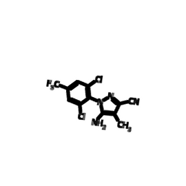 Cc1c(C#N)nn(-c2c(Cl)cc(C(F)(F)F)cc2Cl)c1N